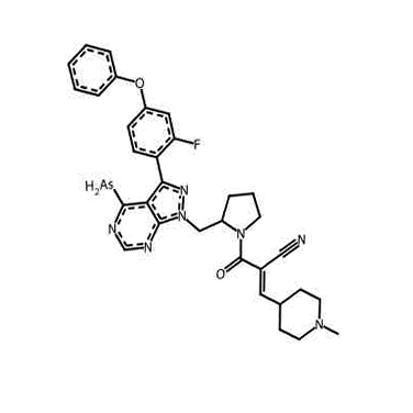 CN1CCC(C=C(C#N)C(=O)N2CCCC2Cn2nc(-c3ccc(Oc4ccccc4)cc3F)c3c([AsH2])ncnc32)CC1